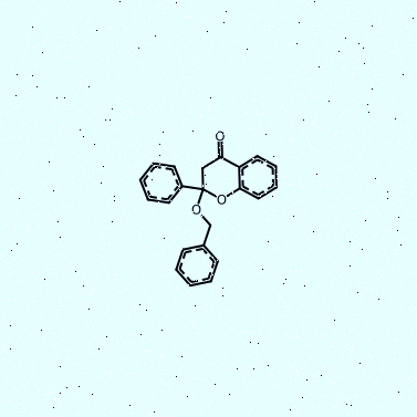 O=C1CC(OCc2ccccc2)(c2ccccc2)Oc2ccccc21